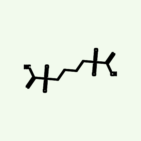 C=C(C#N)S(=O)(=O)CCCCS(=O)(=O)C(=C)C#N